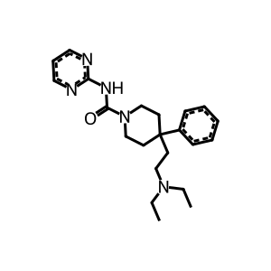 CCN(CC)CCC1(c2ccccc2)CCN(C(=O)Nc2ncccn2)CC1